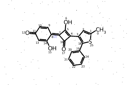 Cc1cc(C2=C(O)/C(=C3\C=CC(=O)C=C3O)C2=O)c(-c2ccccc2)s1